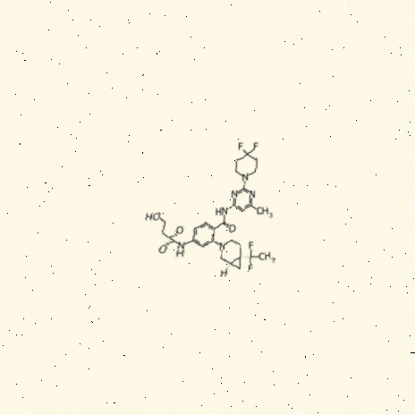 Cc1cc(NC(=O)c2ccc(NS(=O)(=O)CCO)cc2N2CC[C@@]3(C(C)(F)F)C[C@H]3C2)nc(N2CCC(F)(F)CC2)n1